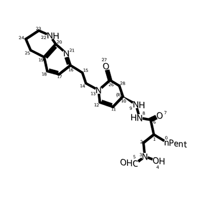 CCCCCC(CN(O)C=O)C(=O)NN[C@H]1C=CN(CCc2ccc3c(n2)NCCC3)C(=O)C1